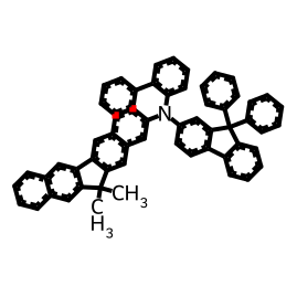 CC1(C)c2cc3ccccc3cc2-c2cc3ccc(N(c4ccc5c(c4)C(c4ccccc4)(c4ccccc4)c4ccccc4-5)c4ccccc4-c4ccccc4)cc3cc21